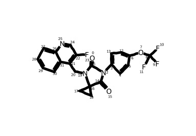 O=C1N(c2ccc(OC(F)(F)F)cc2)C(=O)C2(CC2)N1Cc1c(F)cnc2ccccc12